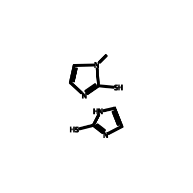 Cn1ccnc1S.Sc1ncc[nH]1